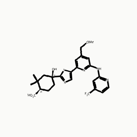 COCc1cc(Nc2cc(C(F)(F)F)ccn2)nc(-c2cnc([C@]3(O)CC[C@@H](C(=O)O)C(C)(C)C3)s2)c1